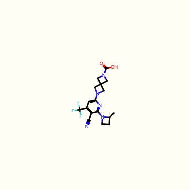 CC1CCN1c1nc(N2CC3(CN(C(=O)O)C3)C2)cc(C(F)(F)F)c1C#N